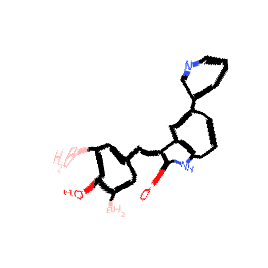 Bc1cc(/C=C2\C(=O)Nc3ccc(-c4cccnc4)cc32)cc(B)c1O